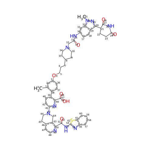 Cc1cc(OCCCC2CCN(CC(=O)Nc3ccc4c(C5CCC(=O)NC5=O)nn(C)c4c3)CC2)ccc1-c1ccc(N2CCc3ccnc(C(=O)Nc4nc5ccccc5s4)c3C2)nc1C(=O)O